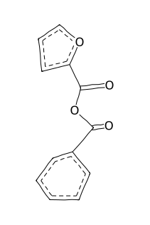 O=C(OC(=O)c1ccco1)c1ccccc1